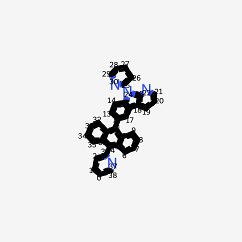 c1ccc(-c2c3ccccc3c(-c3ccc4c(c3)c3cccnc3n4-c3ccccn3)c3ccccc23)nc1